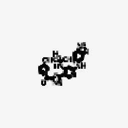 CC(C)Nc1cc(Nc2ccc3nsnc3c2)ncc1-c1nnc(C(=O)N2CC[C@@H](O)C2)s1